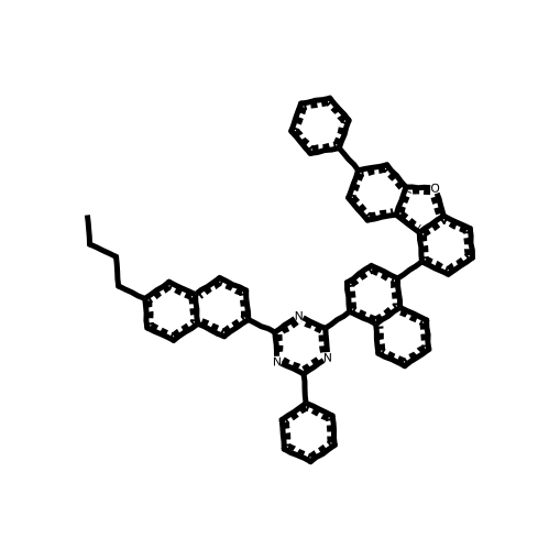 CCCCc1ccc2cc(-c3nc(-c4ccccc4)nc(-c4ccc(-c5cccc6oc7cc(-c8ccccc8)ccc7c56)c5ccccc45)n3)ccc2c1